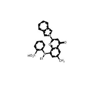 CCN(c1ccccc1C(=O)O)c1cc(C)cc2c(=O)cc(-n3cc4ccccc4c3)oc12